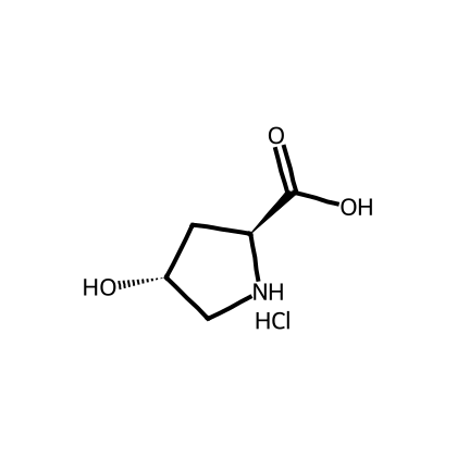 Cl.O=C(O)[C@@H]1C[C@@H](O)CN1